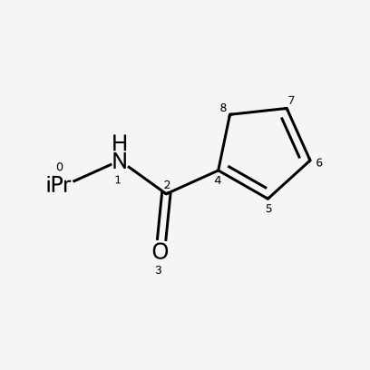 CC(C)NC(=O)C1=CC=CC1